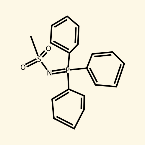 CS(=O)(=O)N=P(c1ccccc1)(c1ccccc1)c1ccccc1